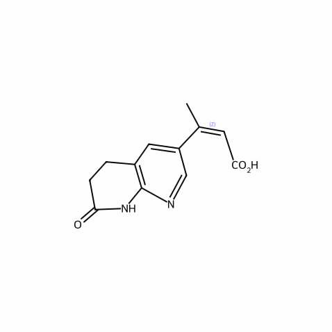 C/C(=C/C(=O)O)c1cnc2c(c1)CCC(=O)N2